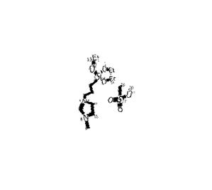 CCO[Si](CCC[N+]1=CN(C)CC1)(OCC)OCC.CS(=O)(=O)[O-]